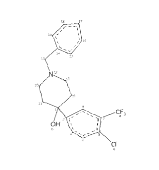 OC1(c2ccc(Cl)c(C(F)(F)F)c2)CCN(Cc2ccccc2)CC1